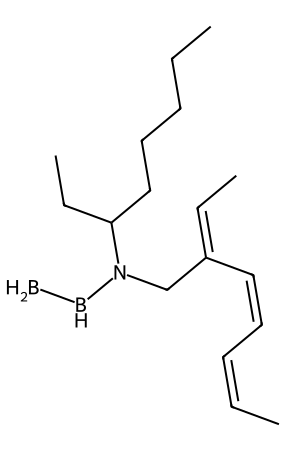 BBN(CC(/C=C\C=C/C)=C/C)C(CC)CCCCC